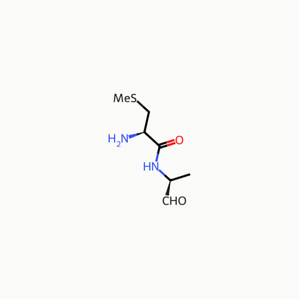 CSC[C@H](N)C(=O)N[C@@H](C)C=O